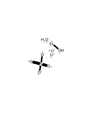 CCO.O.O=S(=O)([O-])[O-].[Li+].[Li+]